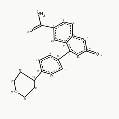 NC(=O)c1ccc2oc(=O)cc(-c3ccc(C4CCOCC4)cc3)c2c1